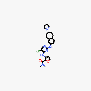 CN(C)C(=O)c1occc1Nc1nc(Nc2ccc3c(c2)CC[C@@H](N2CCCC2)CC3)ncc1Cl